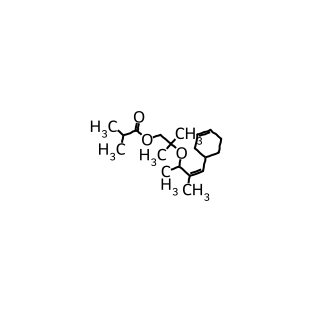 CC(=CC1CC=CCC1)C(C)OC(C)(C)COC(=O)C(C)C